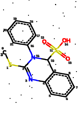 CSC1=Nc2ccccc2C(S(=O)(=O)O)N1c1ccccc1